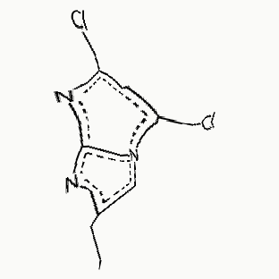 Cc1cn2c(Cl)cc(Cl)nc2n1